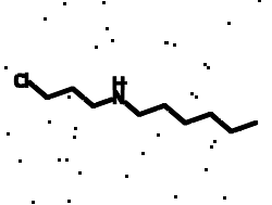 CCCCCCNCCCCl